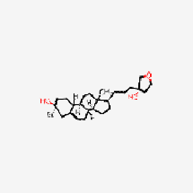 CC[C@]1(O)CC[C@H]2C(=CC[C@@H]3[C@@H]2CC[C@]2(C)[C@@H](CCC[C@]4(O)CCOC4)CC[C@@H]32)C1